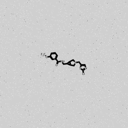 O=C(NCC1C2CN(Cc3cnc(Cl)s3)CC12)c1cccc(OC(F)(F)F)c1